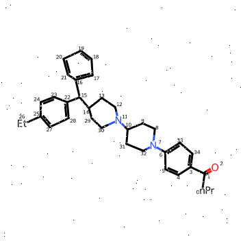 CCCC(=O)c1ccc(N2CCC(N3CCC(C(c4ccccc4)c4ccc(CC)cc4)CC3)CC2)cc1